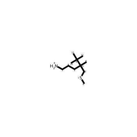 CSCC(C)(CCCN)C(C)(C)C